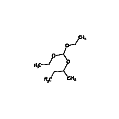 CCOC(OCC)OC(C)CC